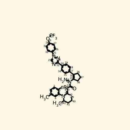 CCCc1ccc(C)cc1N1/C(=N/C(=O)N(N)C2=C(c3ccc(-c4ncn(-c5ccc(OC(F)(F)F)cc5)n4)cc3)CCC2)SCCC1C